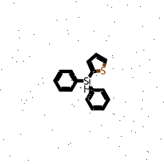 c1ccc([SiH](c2ccccc2)c2cccs2)cc1